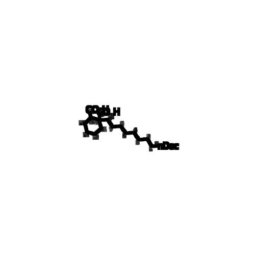 CCCCCCCCCCCCCCCCCCC1(C(=O)O)CCCCC1C(=O)O